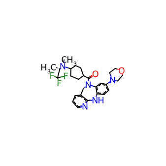 C[C@H](N(C)C1CCC(C(=O)N2Cc3cccnc3Nc3ccc(N4CCOCC4)cc32)CC1)C(F)(F)F